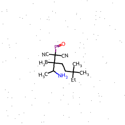 BC(CCC(C)(C)CC)(C(C)N)C(C#N)(C#N)P=O